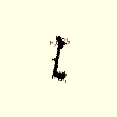 Cc1c2ccncc2c(C)c2c1[nH]c1ccc(OCCOCOCCNCCOCOCCOc3ccc4[nH]c5c(C)c6ccncc6c(C)c5c4c3)cc12